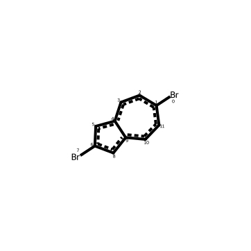 Brc1ccc2cc(Br)cc-2cc1